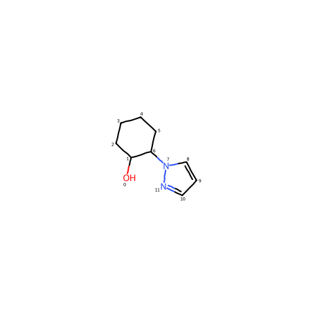 OC1CCCCC1n1cccn1